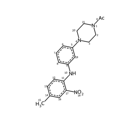 CC(=O)N1CCN(c2cccc(Nc3ccc(C)cc3[N+](=O)[O-])c2)CC1